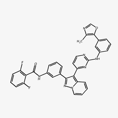 Cc1ncoc1-c1cccc(Nc2nccc(-c3c(-c4cccc(NC(=O)c5c(F)cccc5F)c4)nn4ccccc34)n2)c1